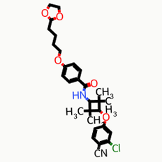 CC1(C)C(NC(=O)c2ccc(OCCCCC3OCCO3)cc2)C(C)(C)C1Oc1ccc(C#N)c(Cl)c1